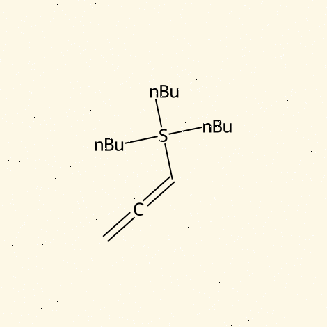 C=C=CS(CCCC)(CCCC)CCCC